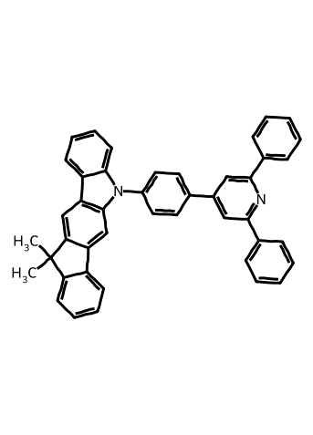 CC1(C)c2ccccc2-c2cc3c(cc21)c1ccccc1n3-c1ccc(-c2cc(-c3ccccc3)nc(-c3ccccc3)c2)cc1